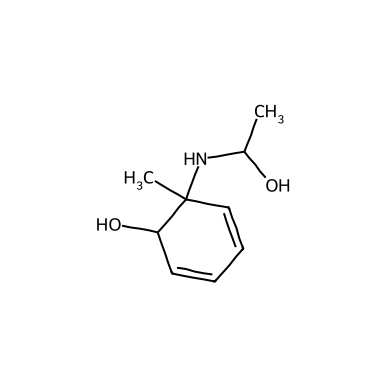 CC(O)NC1(C)C=CC=CC1O